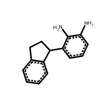 Nc1cccc(C2CCc3ccccc32)c1N